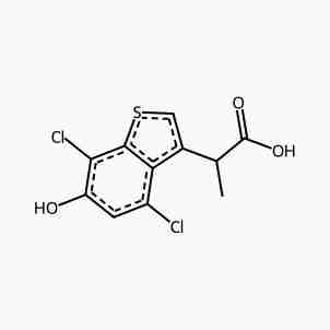 CC(C(=O)O)c1csc2c(Cl)c(O)cc(Cl)c12